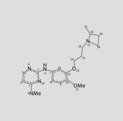 CNc1ccnc(Nc2ccc(OC)c(OCCCN3CCC3C)c2)n1